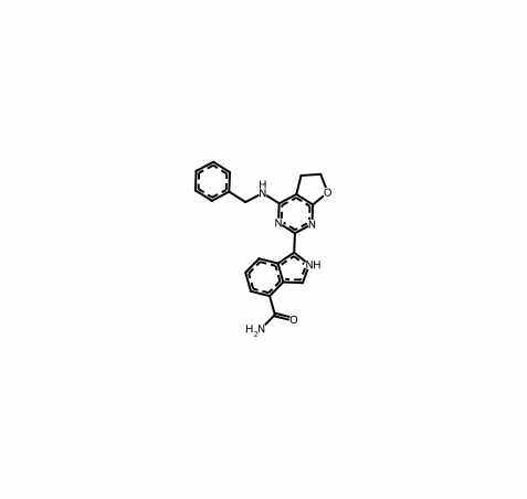 NC(=O)c1cccc2c(-c3nc(NCc4ccccc4)c4c(n3)OCC4)[nH]cc12